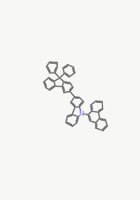 c1ccc(C2(c3ccccc3)c3ccccc3-c3cc(-c4ccc5c(c4)c4ccccc4n5-c4cc5ccccc5c5ccccc45)ccc32)cc1